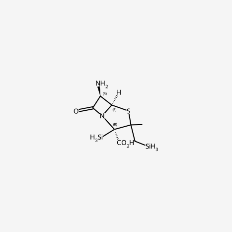 CC1(C[SiH3])S[C@@H]2[C@H](N)C(=O)N2[C@@]1([SiH3])C(=O)O